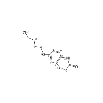 O=C1CSc2cc(OCCCCCl)ccc2N1